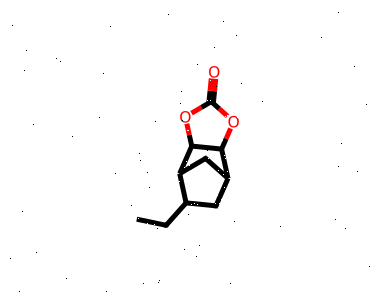 CCC1CC2CC1C1OC(=O)OC21